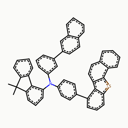 CC1(C)c2ccccc2-c2c(N(c3ccc(-c4cccc5sc6c7ccccc7ccc6c45)cc3)c3cccc(-c4ccc5ccccc5c4)c3)cccc21